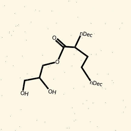 CCCCCCCCCCCCC(CCCCCCCCCC)C(=O)OCC(O)CO